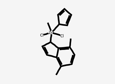 Cc1ccc(C)c2c1C=C[CH]2[Zr]([CH3])([Cl])([Cl])[CH]1C=CC=C1